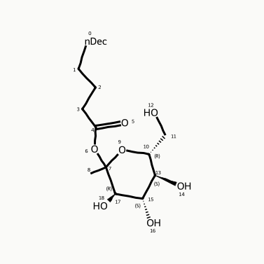 CCCCCCCCCCCCCC(=O)OC1(C)O[C@H](CO)[C@@H](O)[C@H](O)[C@H]1O